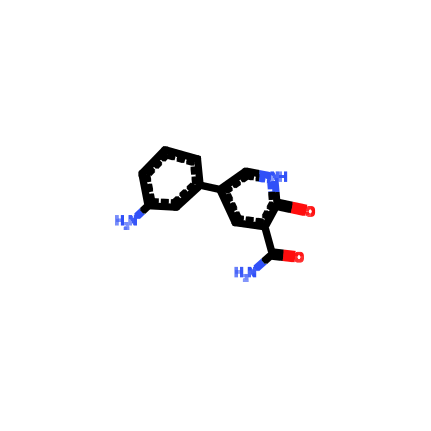 NC(=O)c1cc(-c2cccc(N)c2)c[nH]c1=O